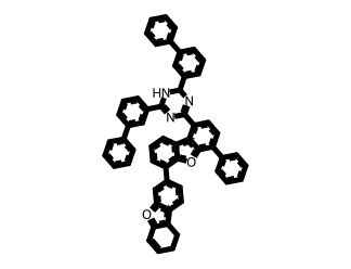 C1=Cc2oc3cc(-c4cccc5c4oc4c(-c6ccccc6)ccc(C6=NC(c7cccc(-c8ccccc8)c7)NC(c7cccc(-c8ccccc8)c7)=N6)c45)ccc3c2CC1